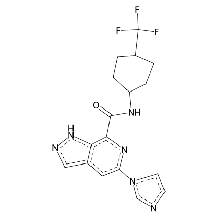 O=C(NC1CCC(C(F)(F)F)CC1)c1nc(-n2ccnc2)cc2cn[nH]c12